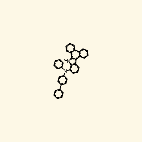 Cn1c2c(N(c3ccccc3)c3ccc(-c4ccccc4)cc3)cccc2c2c3ccccc3c3ccccc3c21